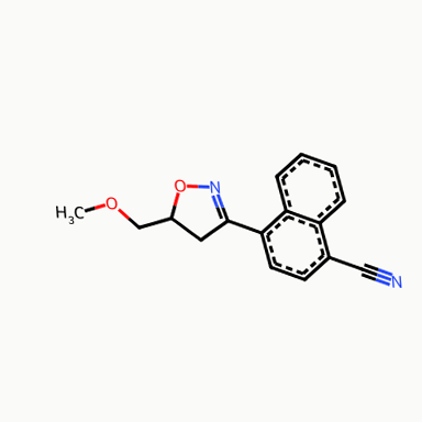 COCC1CC(c2ccc(C#N)c3ccccc23)=NO1